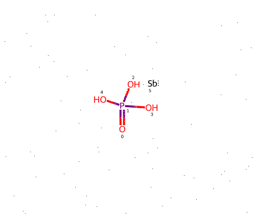 O=P(O)(O)O.[Sb]